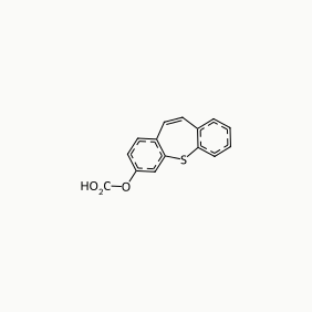 O=C(O)Oc1ccc2c(c1)Sc1ccccc1C=C2